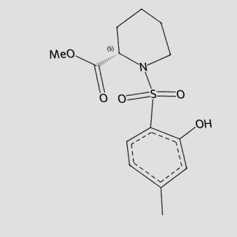 COC(=O)[C@@H]1CCCCN1S(=O)(=O)c1ccc(C)cc1O